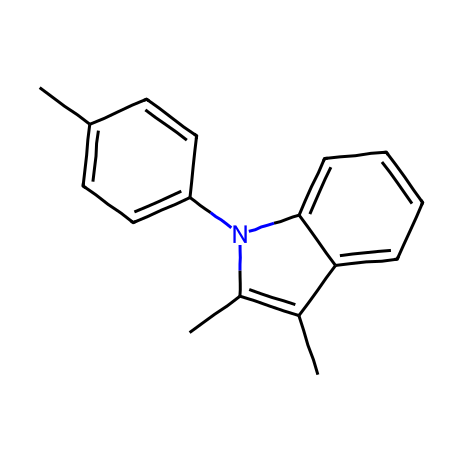 Cc1ccc(-n2c(C)c(C)c3ccccc32)cc1